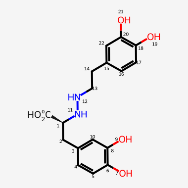 O=C(O)[C@H](Cc1ccc(O)c(O)c1)NNCCc1ccc(O)c(O)c1